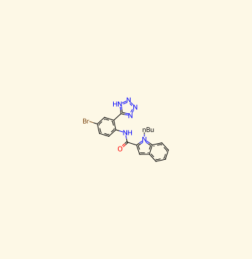 CCCCn1c(C(=O)Nc2ccc(Br)cc2-c2nnn[nH]2)cc2ccccc21